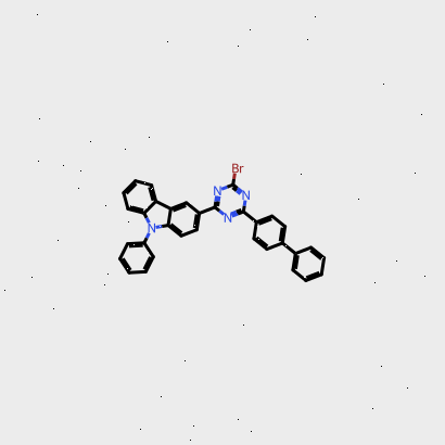 Brc1nc(-c2ccc(-c3ccccc3)cc2)nc(-c2ccc3c(c2)c2ccccc2n3-c2ccccc2)n1